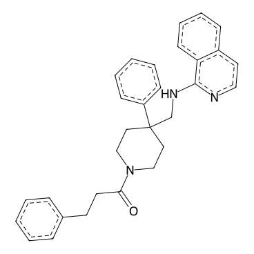 O=C(CCc1ccccc1)N1CCC(CNc2nccc3ccccc23)(c2ccccc2)CC1